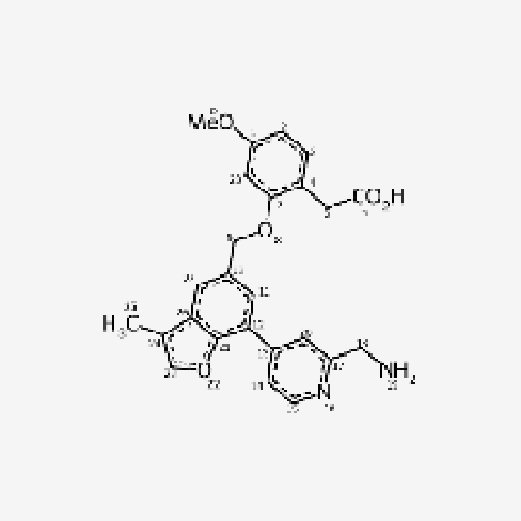 COc1ccc(CC(=O)O)c(OCc2cc(-c3ccnc(CN)c3)c3occ(C)c3c2)c1